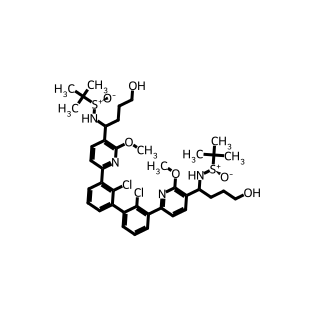 COc1nc(-c2cccc(-c3cccc(-c4ccc(C(CCCO)N[S@+]([O-])C(C)(C)C)c(OC)n4)c3Cl)c2Cl)ccc1C(CCCO)N[S@+]([O-])C(C)(C)C